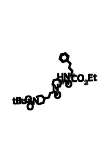 CCOC(=O)[C@H](CCCc1ccccc1)NC(=O)[C@@H]1CCCN(C(=O)CCC2CCN(C(=O)OC(C)(C)C)CC2)C1